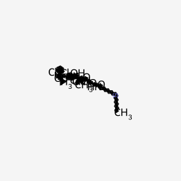 CCCCCCCC/C=C\CCCCCCCC(=O)NCCOCCNC(=O)c1cc([C@H]2C[C@@](O)(c3ccc(OCc4c(-c5c(Cl)cccc5Cl)noc4C4CC4)cc3Cl)C2)n(C(C)C)n1